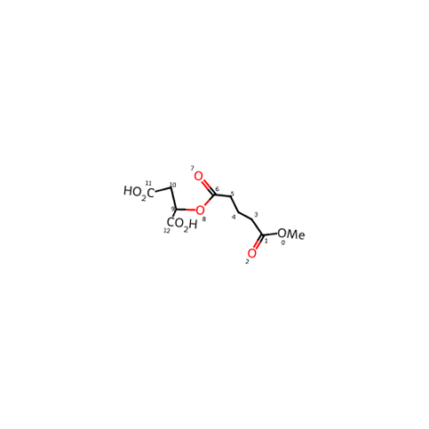 COC(=O)CCCC(=O)OC(CC(=O)O)C(=O)O